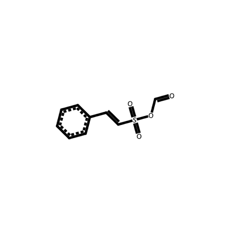 O=COS(=O)(=O)C=Cc1ccccc1